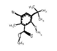 COC(=O)c1c(C)c(Br)cc(C(C)(C)C)c1OC